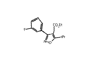 CCOC(=O)c1c(-c2cccc(F)c2)noc1C(C)C